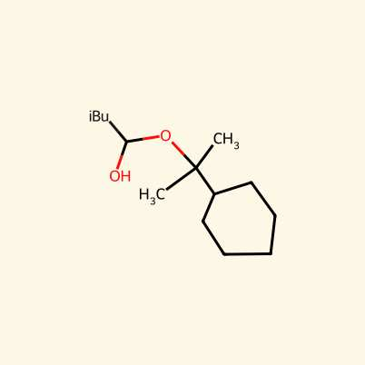 CCC(C)C(O)OC(C)(C)C1CCCCC1